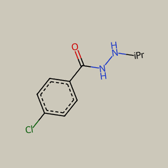 CC(C)NNC(=O)c1ccc(Cl)cc1